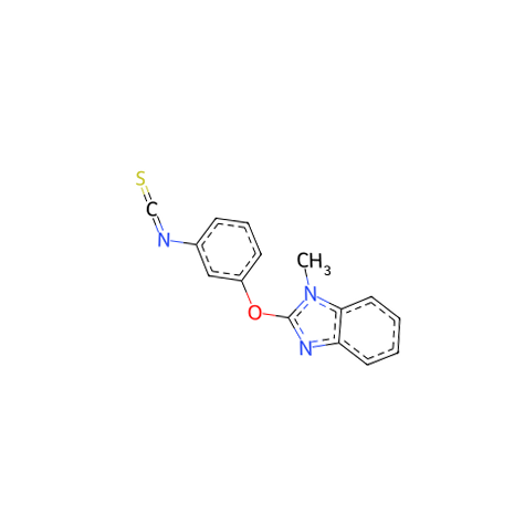 Cn1c(Oc2cccc(N=C=S)c2)nc2ccccc21